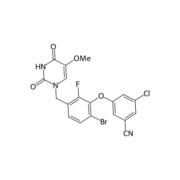 COc1cn(Cc2ccc(Br)c(Oc3cc(Cl)cc(C#N)c3)c2F)c(=O)[nH]c1=O